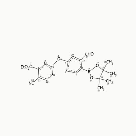 CCOC(=O)c1nc(Oc2ccc(B3OC(C)(C)C(C)(C)O3)c(C=O)c2)ccc1C#N